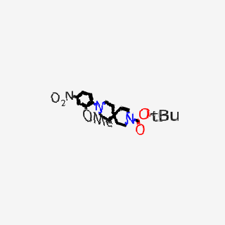 COc1cc([N+](=O)[O-])ccc1N1CCC2(CCN(C(=O)OC(C)(C)C)CC2)CC1